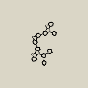 c1ccc(-c2cc(-c3ccccc3)cc(N3c4ccc(-c5ccc6oc7ccc(-c8ccc9c(c8)C8Oc%10ccccc%10C8N9c8ccccc8)cc7c6c5)cc4C4Oc5ccccc5C43)c2)cc1